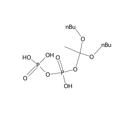 CCCCOC(C)(OCCCC)OP(=O)(O)OP(=O)(O)O